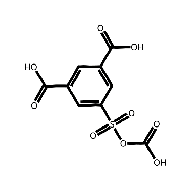 O=C(O)OS(=O)(=O)c1cc(C(=O)O)cc(C(=O)O)c1